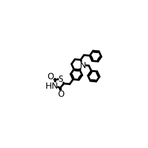 O=C1NC(=O)C(Cc2ccc3c(c2)CCC(Cc2ccccc2)N3Cc2ccccc2)S1